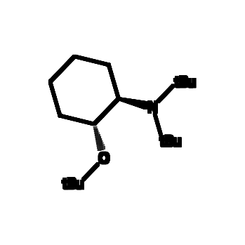 CC(C)(C)O[C@@H]1CCCC[C@H]1N(C(C)(C)C)C(C)(C)C